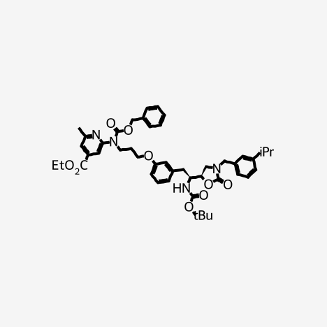 CCOC(=O)c1cc(C)nc(N(CCCOc2cccc(C[C@H](NC(=O)OC(C)(C)C)[C@H]3CN(Cc4cccc(C(C)C)c4)C(=O)O3)c2)C(=O)OCc2ccccc2)c1